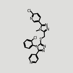 Cn1c(CSc2nnc(-c3ccncc3)n2-c2ccccc2Cl)nnc1-c1ccc(Cl)nc1